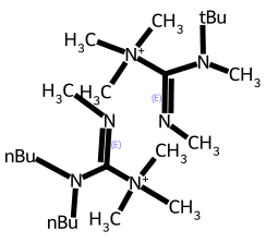 C/N=C(\N(C)C(C)(C)C)[N+](C)(C)C.CCCCN(CCCC)/C(=N\C)[N+](C)(C)C